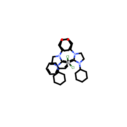 [Cl][Ru]([Cl])(=[CH]c1ccccc1)(=[C]1N(C2CCCCC2)CCN1C1CCCCC1)=[C]1N(C2CCCCC2)CCN1C1CCCCC1